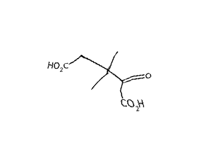 CC(C)(CC(=O)O)C(=O)C(=O)O